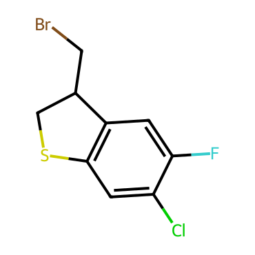 Fc1cc2c(cc1Cl)SCC2CBr